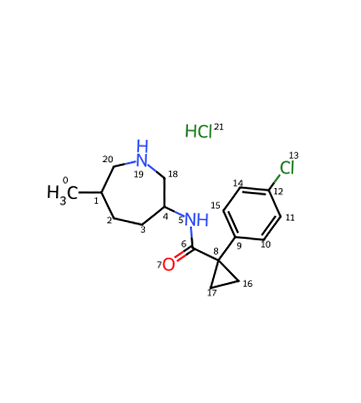 CC1CCC(NC(=O)C2(c3ccc(Cl)cc3)CC2)CNC1.Cl